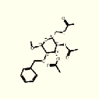 CO[C@H]1O[C@H](COC(C)=O)[C@@H](OC(C)=O)[C@H](OC(C)=O)[C@H]1OCc1ccccc1